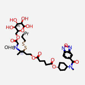 C/C(=C(\CCOC(=O)CCCC(=O)O[C@H]1CC[C@H](N(C)C(=O)c2ccc3nonc3c2)CC1)SSCCC(C)C)N(C=O)CC(=O)OCC1OC(O)C(O)[C@H](O)C1O